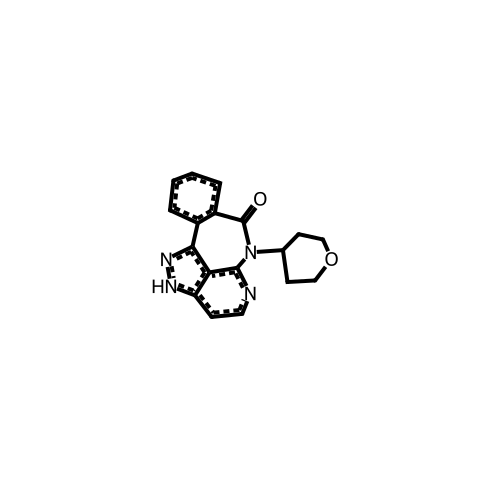 O=C1c2ccccc2-c2n[nH]c3ccnc(c23)N1C1CCOCC1